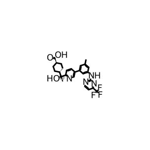 Cc1cc(Nc2nccc(C(F)(F)F)n2)cc(-c2ccc([C@](C)(O)[C@H]3CC[C@H](C(=O)O)CC3)nc2)c1